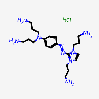 Cl.NCCCN(CCCN)c1ccc(N=Nc2n(CCCN)cc[n+]2CCCN)cc1